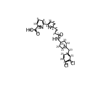 O=C(CSc1nc(-c2cccc(C(=O)O)n2)cs1)NC1CCN(Cc2ccc(Cl)c(Cl)c2)CC1